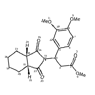 COC(=O)CC(c1ccc(OC)c(OC)c1)N1C(=O)[C@H]2CCCC[C@H]2C1=O